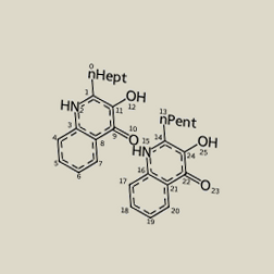 CCCCCCCc1[nH]c2ccccc2c(=O)c1O.CCCCCc1[nH]c2ccccc2c(=O)c1O